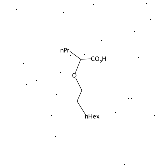 CCCCCCCCOC(CCC)C(=O)O